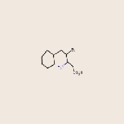 CCC(CC1CCCCC1)C(N)CC(=O)O